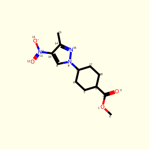 COC(=O)C1CCC(n2cc([N+](=O)[O-])c(C)n2)CC1